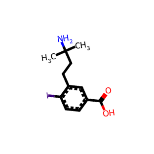 CC(C)(N)CCc1cc(C(=O)O)ccc1I